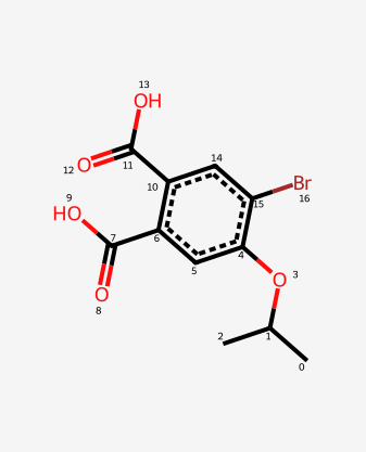 CC(C)Oc1cc(C(=O)O)c(C(=O)O)cc1Br